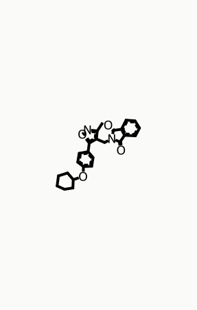 Cc1noc(-c2ccc(OC3CCCCC3)cc2)c1CN1C(=O)c2ccccc2C1=O